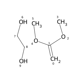 C=C(OC)OC.OCCO